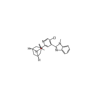 C=C(C)N1[C@@H]2C[C@H]1CN(c1cc(-c3nc4ccccc4n3C)c(Cl)cn1)C2